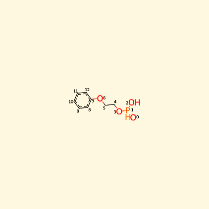 O=[PH](O)OCCOc1ccccc1